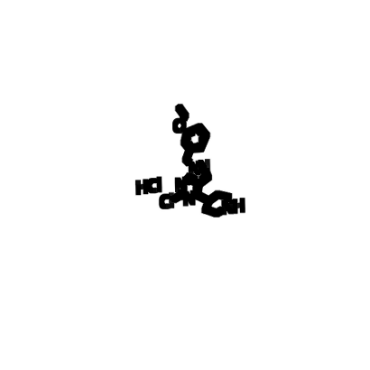 CCOc1cccc(Cn2ncc3c(C4CCNCC4)nc(Cl)nc32)c1.Cl